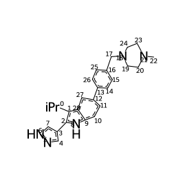 CC(C)c1c(-c2cn[nH]c2)[nH]c2ccc(-c3ccc(CN4CCN(C)CC4)cc3)cc12